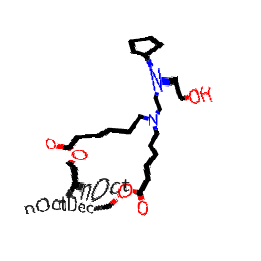 CCCCCCCCCCCOC(=O)CCCCCN(CCCCCC(=O)OCC(CCCCCCCC)CCCCCCCC)CCN(CCO)C1CCCC1